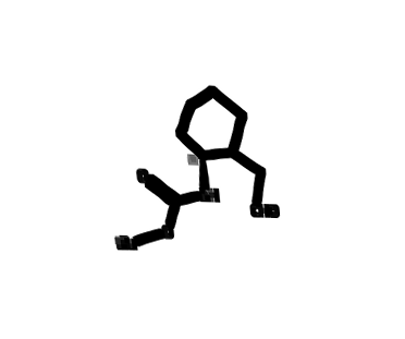 CC(C)(C)OC(=O)N[C@H]1CCCCC1CC=O